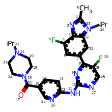 Cc1nc2c(F)cc(-c3nc(Nc4ccc(C(=O)N5CCN(C(C)C)CC5)cn4)ncc3F)cc2n1C(C)C